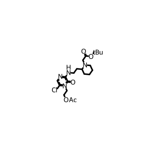 CC(=O)OCCn1c(Cl)cnc(NCCC2CCCCN2CC(=O)OC(C)(C)C)c1=O